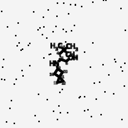 CC(C)(C)C[C@H](CO)NC1CC2(CC2)C1